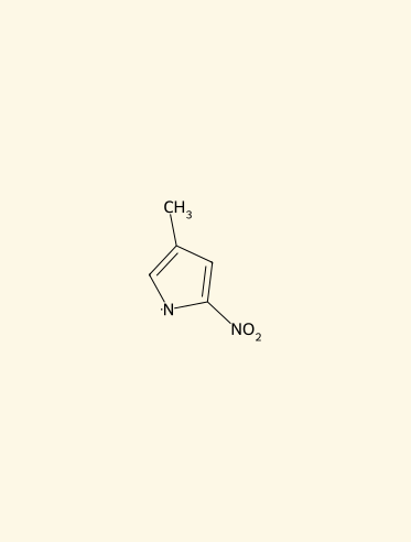 CC1=C[N]C([N+](=O)[O-])=C1